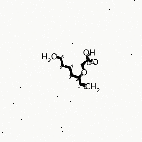 C=CC(CCCCC)OCC(=O)O